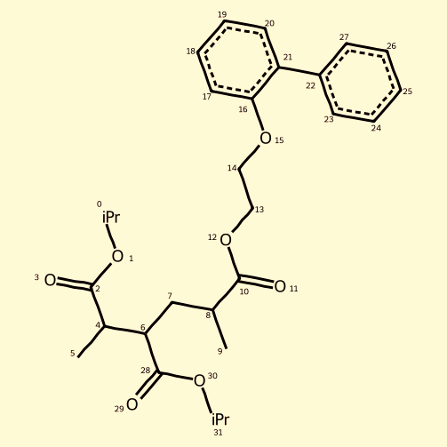 CC(C)OC(=O)C(C)C(CC(C)C(=O)OCCOc1ccccc1-c1ccccc1)C(=O)OC(C)C